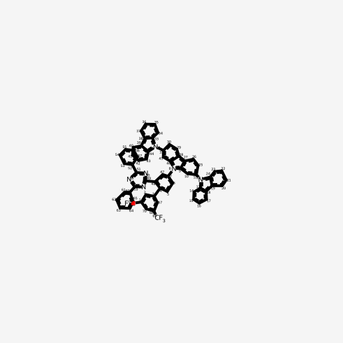 FC(F)(F)c1cc(-c2ccc(-n3c4cc(-n5c6ccccc6c6ccccc65)ccc4c4ccc(-n5c6ccccc6c6ccccc65)cc43)cc2-c2nc(-c3ccccc3)nc(-c3ccccc3)n2)cc(C(F)(F)F)c1